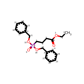 CCOC(=O)CCCP(=O)(OCc1ccccc1)OCc1ccccc1